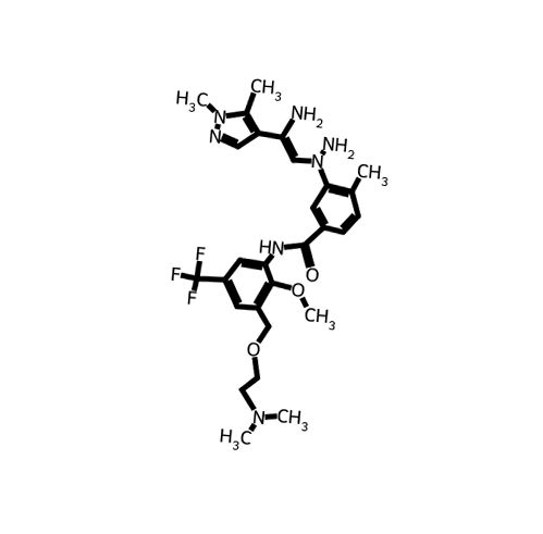 COc1c(COCCN(C)C)cc(C(F)(F)F)cc1NC(=O)c1ccc(C)c(N(N)/C=C(\N)c2cnn(C)c2C)c1